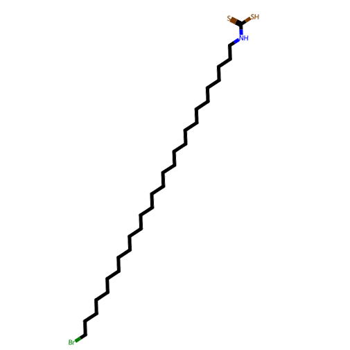 S=C(S)NCCCCCCCCCCCCCCCCCCCCCCCCCCCCBr